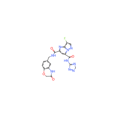 O=C1COc2ccc(CNC(=O)c3cc(C(=O)NC4=NCN=N4)n4ncc(F)c4n3)cc2N1